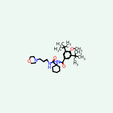 COc1c(C(C)(C)C)cc(C(=O)NC2(C(=O)NCCCN3CCOCC3)CCCCC2)cc1C(C)(C)C